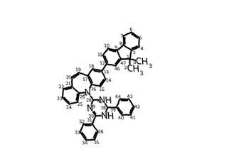 CC1(C)c2ccccc2-c2ccc(-c3ccc4c(c3)C=Cc3ccccc3N4C3N=C(c4ccccc4)NC(c4ccccc4)N3)cc21